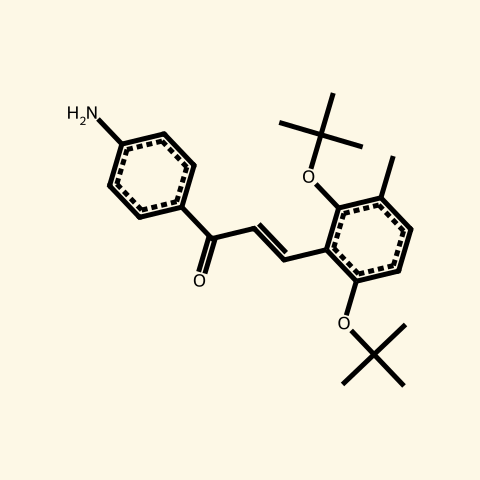 Cc1ccc(OC(C)(C)C)c(C=CC(=O)c2ccc(N)cc2)c1OC(C)(C)C